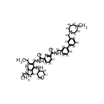 CCc1nc2c(cnn2CC)c(NC2CCOCC2)c1CNC(=O)c1cccc(C(=O)NCc2cccc(-c3cccc(CN4CCCN(C)CC4)c3)c2)n1